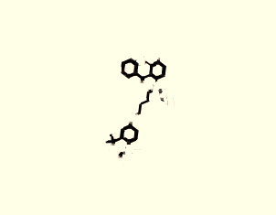 CC1(C)OC(=O)Nc2ccc(OCCCC=[N+](OS)c3ccc(Cl)c(Cl)c3C(=O)c3ccccc3)cc21